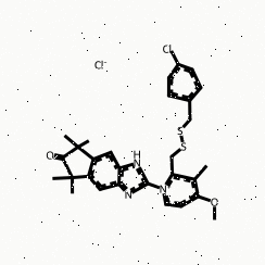 COc1cc[n+](-c2nc3cc4c(cc3[nH]2)C(C)(C)C(=O)C4(C)C)c(CSSCc2ccc(Cl)cc2)c1C.[Cl-]